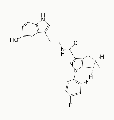 O=C(NCCc1c[nH]c2ccc(O)cc12)c1nn(-c2ccc(F)cc2F)c2c1C[C@H]1C[C@@H]21